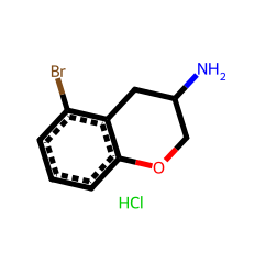 Cl.NC1COc2cccc(Br)c2C1